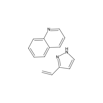 C=Cc1cc[nH]n1.c1ccc2ncccc2c1